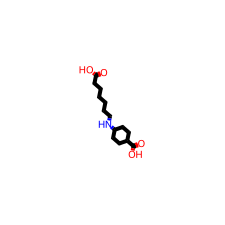 O=C(O)CCCCCCNC1CCC(C(=O)O)CC1